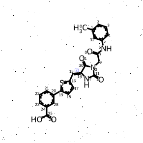 Cc1cccc(NC(=O)CN2C(=O)N/C(=C\c3ccc(-c4cccc(C(=O)O)c4)s3)C2=O)c1